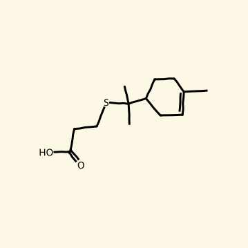 CC1=CCC(C(C)(C)SCCC(=O)O)CC1